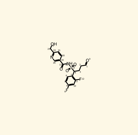 O=CCCC(c1ccc(F)cc1F)S(=O)(=O)NC(=O)c1ccc(CO)nc1